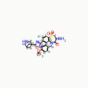 N[C@H]1CS(=O)(=O)c2cc(F)c(-c3noc(C45CNCC(C4)C5)n3)cc2N(Cc2ccc(OC(F)(F)F)cc2)C1=O